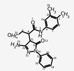 Cc1ccc(NC(=O)C(CC=O)C2C(=O)N(c3ccccc3)N=C2N)cc1C